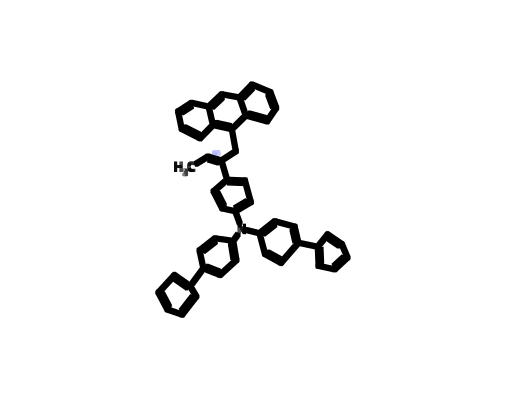 C/C=C(/Cc1c2ccccc2cc2ccccc12)c1ccc(N(c2ccc(-c3ccccc3)cc2)c2ccc(-c3ccccc3)cc2)cc1